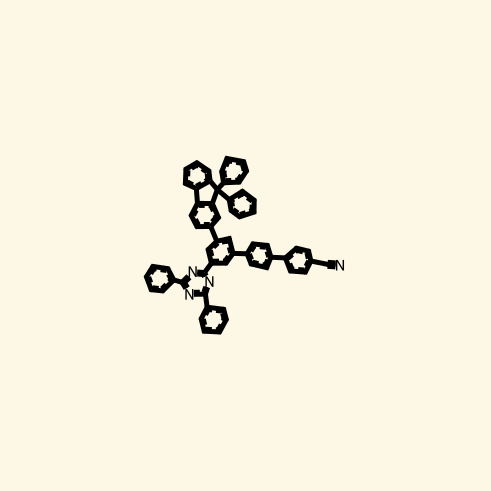 N#Cc1ccc(-c2ccc(-c3cc(-c4ccc5c(c4)C(c4ccccc4)(c4ccccc4)c4ccccc4-5)cc(-c4nc(-c5ccccc5)nc(-c5ccccc5)n4)c3)cc2)cc1